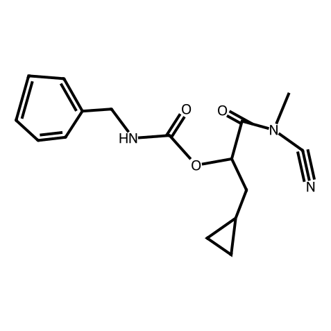 CN(C#N)C(=O)C(CC1CC1)OC(=O)NCc1ccccc1